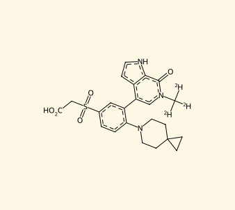 [2H]C([2H])([2H])n1cc(-c2cc(S(=O)(=O)CC(=O)O)ccc2N2CCC3(CC2)CC3)c2cc[nH]c2c1=O